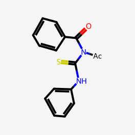 CC(=O)N(C(=O)c1ccccc1)C(=S)Nc1ccccc1